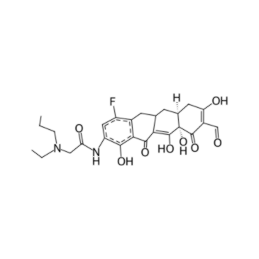 CCCN(CC)CC(=O)Nc1cc(F)c2c(c1O)C(=O)C1=C(O)[C@]3(O)C(=O)C(C=O)=C(O)C[C@@H]3CC1C2